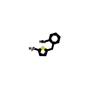 Cc1ccc(Cc2cccc[c]2[RaH])s1